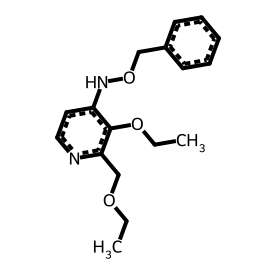 CCOCc1nccc(NOCc2ccccc2)c1OCC